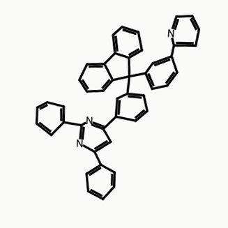 c1ccc(-c2cc(-c3cccc(C4(c5cccc(-c6ccccn6)c5)c5ccccc5-c5ccccc54)c3)nc(-c3ccccc3)n2)cc1